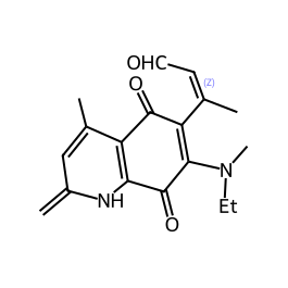 C=C1C=C(C)C2=C(N1)C(=O)C(N(C)CC)=C(/C(C)=C\C=O)C2=O